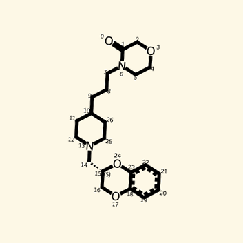 O=C1COCCN1CCCC1CCN(C[C@H]2COc3ccccc3O2)CC1